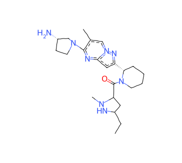 CCC1CC(C(=O)N2CCCC[C@H]2c2cc3nc(N4CC[C@H](N)C4)c(C)cn3n2)N(C)N1